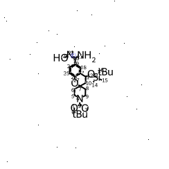 CC(C)(C)OC(=O)N1CCC2(CC1)CC(O[Si](C)(C)C(C)(C)C)c1cc(/C(N)=N\O)ccc1O2